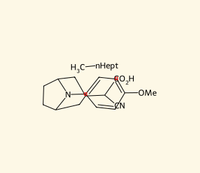 CCCCCCCC.COc1ccc(N2C3CCC2CC(C(C#N)C(=O)O)C3)cc1